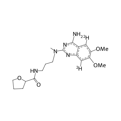 [2H]c1c(OC)c(OC)c([2H])c2c(N)nc(N(C)CCCNC(=O)C3CCCO3)nc12